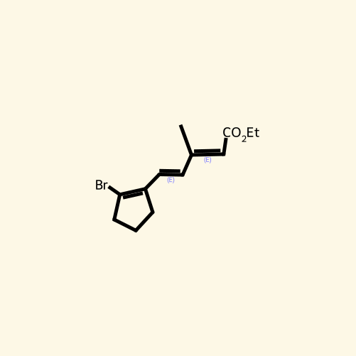 CCOC(=O)/C=C(C)/C=C/C1=C(Br)CCC1